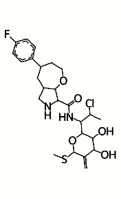 C=C1C(SC)OC(C(NC(=O)C2NCC3CC(c4ccc(F)cc4)CCOC32)C(C)Cl)C(O)C1O